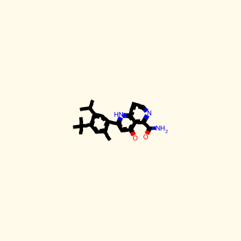 Cc1cc(C(C)(C)C)c(C(C)C)cc1-c1cc(=O)c2c(C(N)=O)nccc2[nH]1